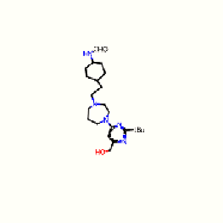 CC(C)(C)c1nc(CO)cc(N2CCCN(CCC3CCC(NC=O)CC3)CC2)n1